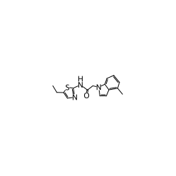 CCc1cnc(NC(=O)Cn2ccc3c(C)cccc32)s1